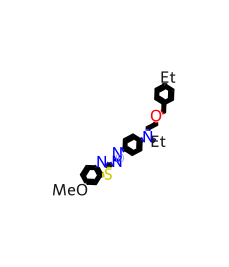 CCc1ccc(COCCN(CC)c2ccc(/N=N/c3nc4ccc(OC)cc4s3)cc2)cc1